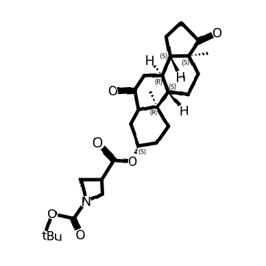 CC(C)(C)OC(=O)N1CC(C(=O)O[C@H]2CC[C@@]3(C)C(C2)C(=O)C[C@@H]2[C@@H]3CC[C@]3(C)C(=O)CC[C@@H]23)C1